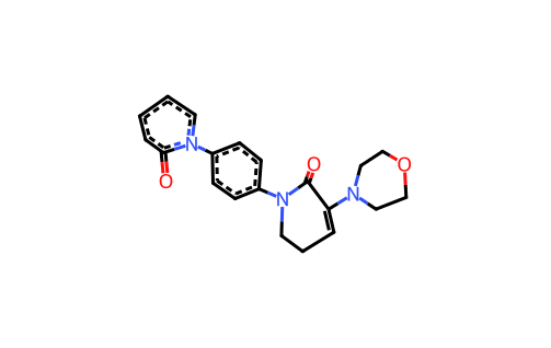 O=C1C(N2CCOCC2)=CCCN1c1ccc(-n2ccccc2=O)cc1